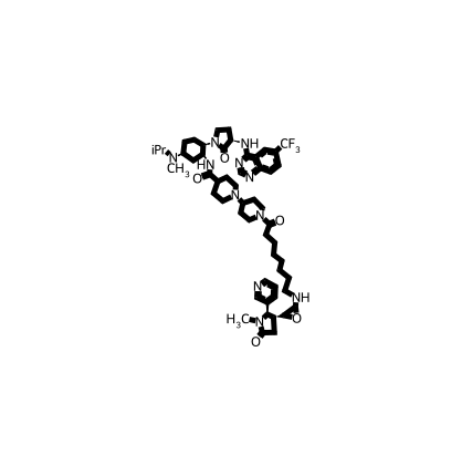 CC(C)N(C)[C@@H]1CC[C@H](N2CC[C@H](Nc3ncnc4ccc(C(F)(F)F)cc34)C2=O)[C@H](NC(=O)C2CCN(C3CCN(C(=O)CCCCCCCNC4OC4[C@@H]4CC(=O)N(C)[C@H]4c4cccnc4)CC3)CC2)C1